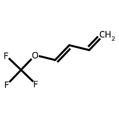 C=CC=COC(F)(F)F